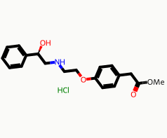 COC(=O)Cc1ccc(OCCNC[C@H](O)c2ccccc2)cc1.Cl